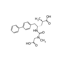 C[C@H](C[C@@H](Cc1ccc(-c2ccccc2)cc1)NC(=O)N(C)CC(=O)O)C(=O)O